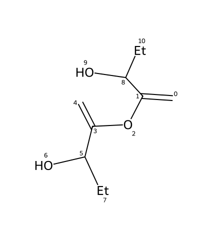 C=C(OC(=C)C(O)CC)C(O)CC